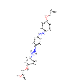 O=CCOc1ccc(/N=N/c2ccc(/N=N/c3ccc(OCC4CO4)cc3)cc2)cc1